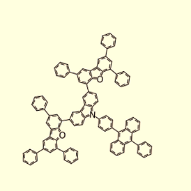 c1ccc(-c2cc(-c3ccccc3)c3oc4c(-c5ccc6c(c5)c5cc(-c7cc(-c8ccccc8)cc8c7oc7c(-c9ccccc9)cc(-c9ccccc9)cc78)ccc5n6-c5ccc(-c6c7ccccc7c(-c7ccccc7)c7ccccc67)cc5)cc(-c5ccccc5)cc4c3c2)cc1